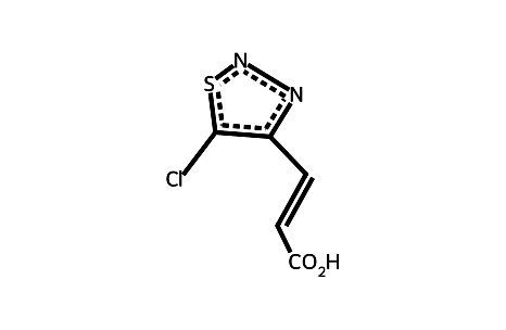 O=C(O)C=Cc1nnsc1Cl